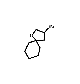 CC(C)(C)C1COC2(CCCCC2)C1